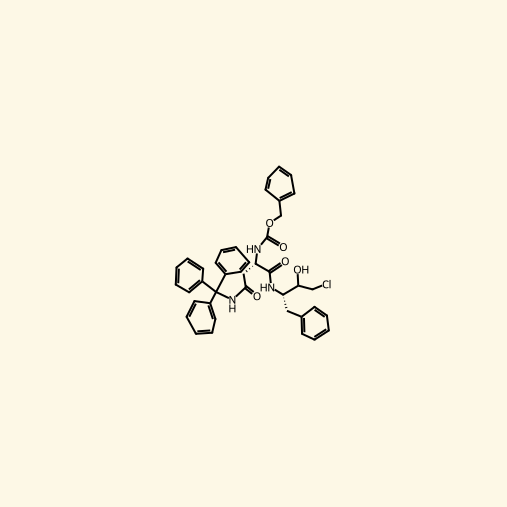 O=C(C[C@H](NC(=O)OCc1ccccc1)C(=O)N[C@@H](Cc1ccccc1)C(O)CCl)NC(c1ccccc1)(c1ccccc1)c1ccccc1